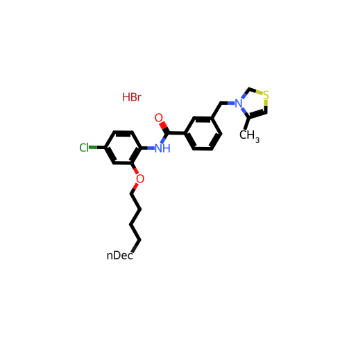 Br.CCCCCCCCCCCCCCOc1cc(Cl)ccc1NC(=O)c1cccc(CN2CSC=C2C)c1